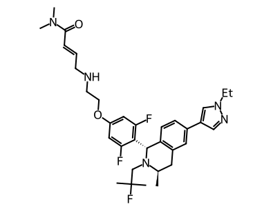 CCn1cc(-c2ccc3c(c2)C[C@@H](C)N(CC(C)(C)F)[C@@H]3c2c(F)cc(OCCNC/C=C/C(=O)N(C)C)cc2F)cn1